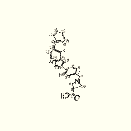 O=C(O)C1CN(Cc2ccc(-c3cc4cc(Sc5ccccc5)ccc4o3)c(F)c2)C1